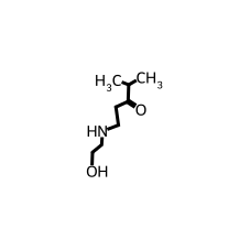 CC(C)C(=O)CCNCCO